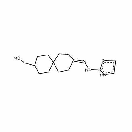 OCC1CCC2(CCC(=NNc3ncc[nH]3)CC2)CC1